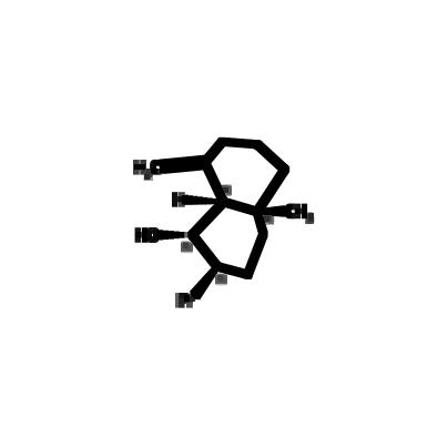 C=C1CCC[C@]2(C)CC[C@@H](C(C)C)[C@H](O)[C@@H]12